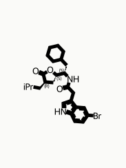 CC(C)C[C@@H]1C[C@@H]([C@H](CC2CCCCC2)NC(=O)Cc2c[nH]c3ccc(Br)cc23)OC1=O